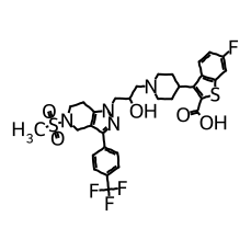 CS(=O)(=O)N1CCc2c(c(-c3ccc(C(F)(F)F)cc3)nn2CC(O)CN2CCC(c3c(C(=O)O)sc4cc(F)ccc34)CC2)C1